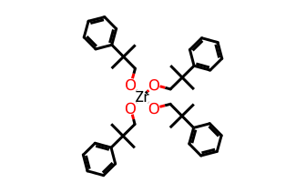 CC(C)(C[O][Zr]([O]CC(C)(C)c1ccccc1)([O]CC(C)(C)c1ccccc1)[O]CC(C)(C)c1ccccc1)c1ccccc1